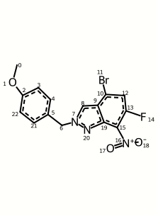 COc1ccc(Cn2cc3c(Br)cc(F)c([N+](=O)[O-])c3n2)cc1